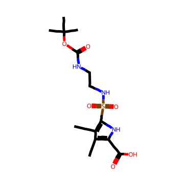 Cc1c(C(=O)O)[nH]c(S(=O)(=O)NCCNC(=O)OC(C)(C)C)c1C